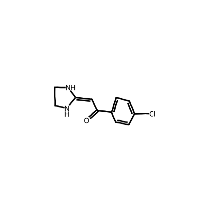 O=C(C=C1NCCN1)c1ccc(Cl)cc1